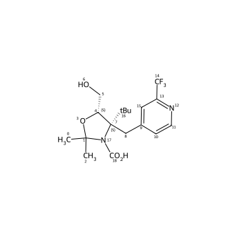 CC1(C)O[C@H](CO)[C@](Cc2ccnc(C(F)(F)F)c2)(C(C)(C)C)N1C(=O)O